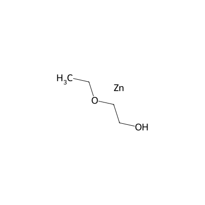 CCOCCO.[Zn]